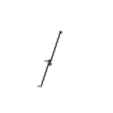 O=[N+]([O-])CCOCCOCCOCCOCCOCCOCCOCCOCCOCCOCCOCCOC(COCC[N+](=O)[O-])SC(CO)OCCOCCOCCOCCOCCOCCOCCOCCOCCOCCOCCO